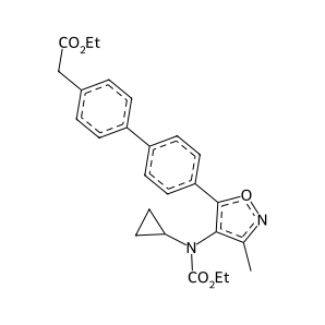 CCOC(=O)Cc1ccc(-c2ccc(-c3onc(C)c3N(C(=O)OCC)C3CC3)cc2)cc1